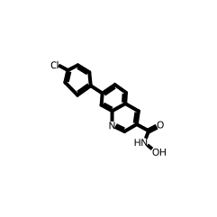 O=C(NO)c1cnc2cc(-c3ccc(Cl)cc3)ccc2c1